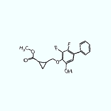 COC(=O)C1CC1COc1c(O)cc(-c2ccccc2)c(F)c1F